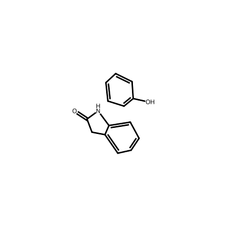 O=C1Cc2ccccc2N1.Oc1ccccc1